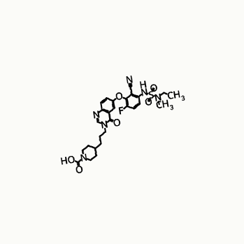 CCN(C)S(=O)(=O)Nc1ccc(F)c(Oc2ccc3ncn(CCCC4CCN(C(=O)O)CC4)c(=O)c3c2)c1C#N